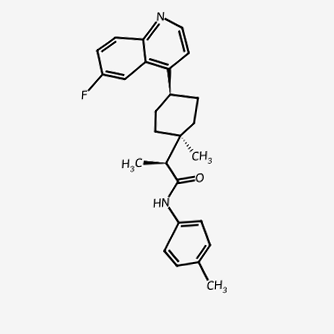 Cc1ccc(NC(=O)[C@@H](C)[C@]2(C)CC[C@H](c3ccnc4ccc(F)cc43)CC2)cc1